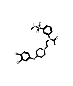 CNS(=O)(=O)c1cccc(N(CCN2CCC(Oc3ccc(Cl)c(Cl)c3)CC2)C(C)=O)c1